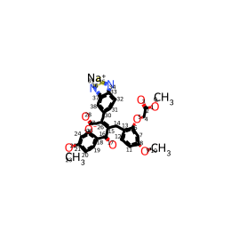 COC(=O)COc1cc(OC)ccc1CC(C(=O)c1ccc(OC)cc1)=C(C(=O)[O-])c1ccc2nsnc2c1.[Na+]